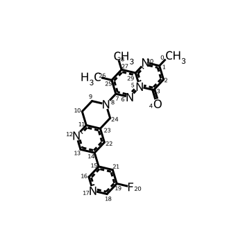 Cc1cc(=O)n2nc(N3CCc4ncc(-c5cncc(F)c5)cc4C3)c(C)c(C)c2n1